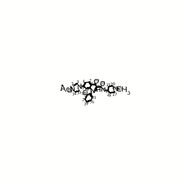 CC(=O)N1CCN(c2ccc3c(=O)c(C(=O)NC4CCN(C)CC4)cn4c3c2Oc2ccccc2-4)CC1